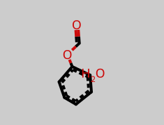 O.O=COc1ccccc1